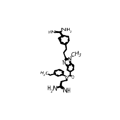 CCc1cccc(N(CCC(=N)N)C(=O)c2ccc3c(c2)nc(CCc2ccc(C(=N)N)cc2)n3C)c1